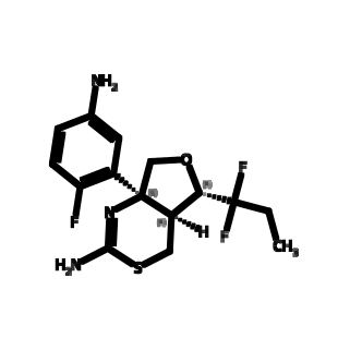 CCC(F)(F)[C@H]1OC[C@]2(c3cc(N)ccc3F)N=C(N)SC[C@H]12